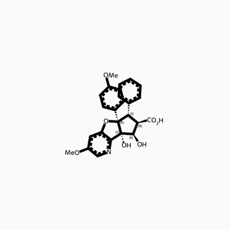 COc1ccc([C@@]23Oc4cc(OC)cnc4[C@]2(O)[C@H](O)[C@H](C(=O)O)[C@H]3c2ccccc2)cc1